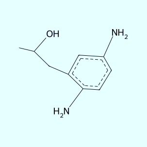 CC(O)Cc1cc(N)ccc1N